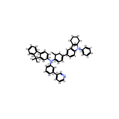 CC1CC(c2ccc3c(c2)c2c(n3-c3ccccc3)CCCC2)=CC=C1N(c1cccc(-c2cccnc2)c1)c1ccc2c(c1)C(C)(C)c1ccccc1-2